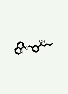 CCCCC(O)c1cccc(COc2cccc3cccnc23)c1